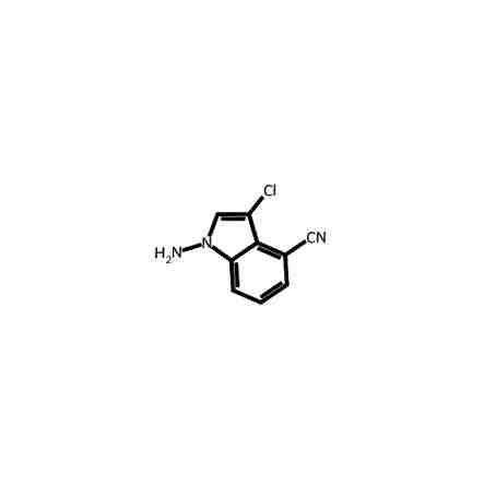 N#Cc1cccc2c1c(Cl)cn2N